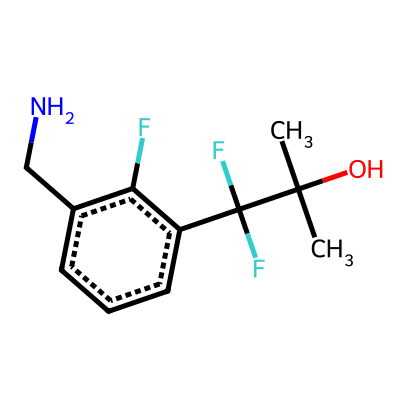 CC(C)(O)C(F)(F)c1cccc(CN)c1F